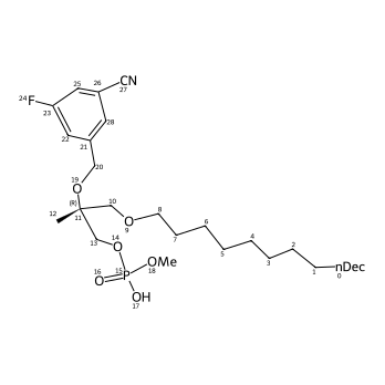 CCCCCCCCCCCCCCCCCCOC[C@](C)(COP(=O)(O)OC)OCc1cc(F)cc(C#N)c1